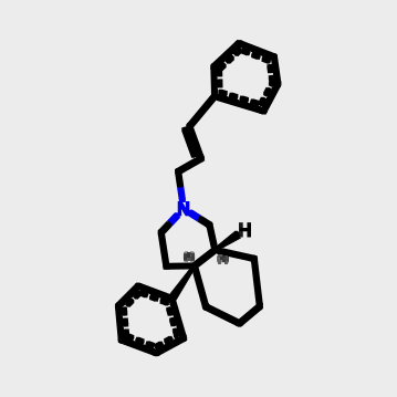 C(=Cc1ccccc1)CN1CC[C@@]2(c3ccccc3)CCCC[C@H]2C1